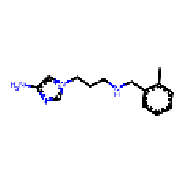 Cc1ccccc1CNCCCn1cnc(N)c1